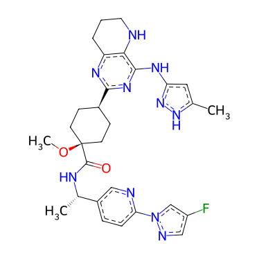 CO[C@]1(C(=O)N[C@@H](C)c2ccc(-n3cc(F)cn3)nc2)CC[C@H](c2nc3c(c(Nc4cc(C)[nH]n4)n2)NCCC3)CC1